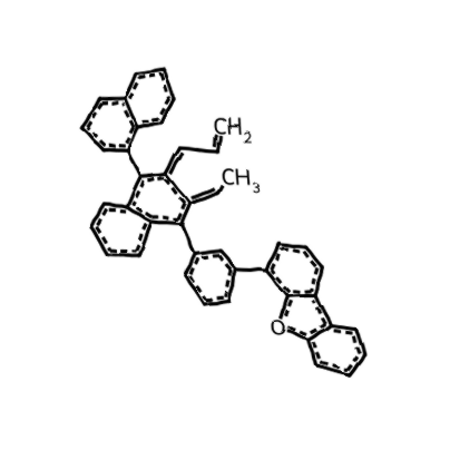 C=C/C=c1/c(-c2cccc3ccccc23)c2ccccc2c(-c2cccc(-c3cccc4c3oc3ccccc34)c2)/c1=C/C